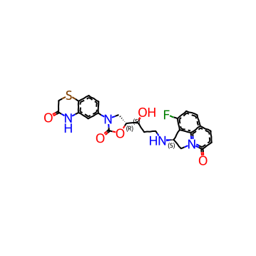 O=C1CSc2ccc(N3C[C@H]([C@@H](O)CCN[C@@H]4Cn5c(=O)ccc6ccc(F)c4c65)OC3=O)cc2N1